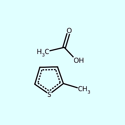 CC(=O)O.Cc1cccs1